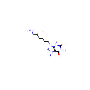 CCCNCC(O)CCCCN1CN(C)c2c1n(C)c(=O)[nH]c2=O